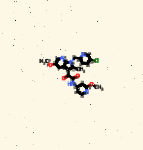 COc1cnc2c(c1)c(C(=O)C(=O)Nc1ccnc(OC)c1)c(C)n2Cc1ccc(Cl)cn1